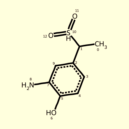 CC(c1ccc(O)c(N)c1)[SH](=O)=O